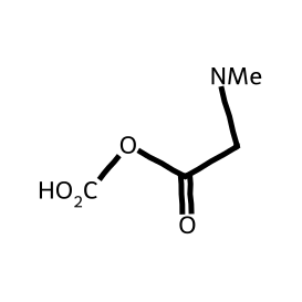 CNCC(=O)OC(=O)O